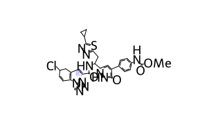 COC(=O)Nc1ccc(-c2cc(C(Cc3nnc(C4CC4)s3)NC(=O)/C=C/C3=C(n4cnnn4)C=CC(Cl)C3)n[nH]c2=O)cc1